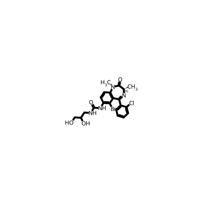 C[C@@H]1N=C(c2ccccc2Cl)c2c(ccc(NC(=O)NCC(O)CO)c2Br)N(C)C1=O